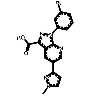 Cn1ccc(-c2cnc3c(c2)c(C(=O)O)nn3-c2cccc(Br)c2)n1